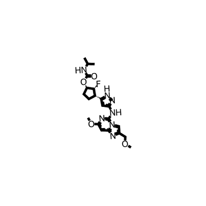 COCc1cn2c(Nc3cc([C@@H]4CC[C@H](OC(=O)NC(C)C)[C@@H]4F)[nH]n3)nc(OC)cc2n1